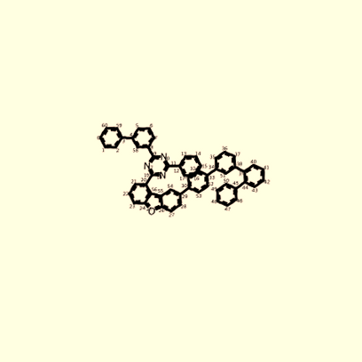 c1ccc(-c2cccc(-c3nc(-c4ccccc4)nc(-c4cccc5oc6ccc(-c7ccc(-c8cccc(-c9ccccc9-c9ccccc9)c8)cc7)cc6c45)n3)c2)cc1